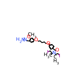 COc1cc(OCCCCCOc2ccc(C(=O)N(C(C)CI)C(C)CI)cc2)ccc1C=NN